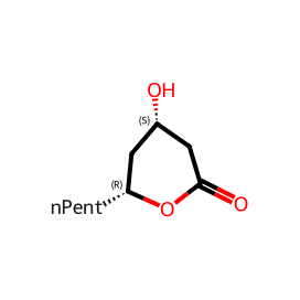 CCCCC[C@@H]1C[C@H](O)CC(=O)O1